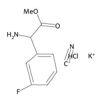 COC(=O)C(N)c1cccc(F)c1.Cl.[C-]#N.[K+]